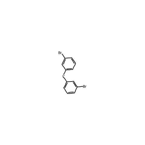 Brc1cccc([I+]c2cccc(Br)c2)c1